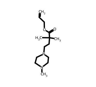 C=CCOC(=O)C(C)(C)CCN1CCN(C)CC1